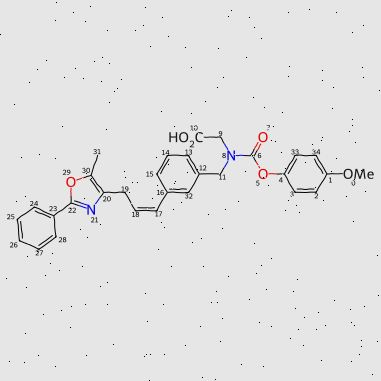 COc1ccc(OC(=O)N(CC(=O)O)Cc2cccc(/C=C\Cc3nc(-c4ccccc4)oc3C)c2)cc1